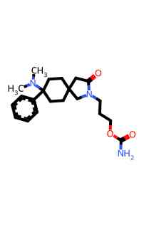 CN(C)C1(c2ccccc2)CCC2(CC1)CC(=O)N(CCCOC(N)=O)C2